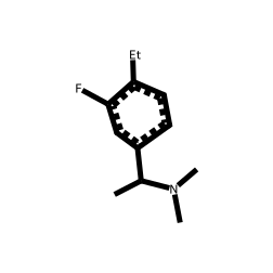 CCc1ccc(C(C)N(C)C)cc1F